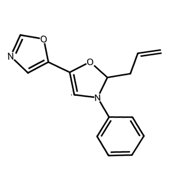 C=CCC1OC(c2cnco2)=[C]N1c1ccccc1